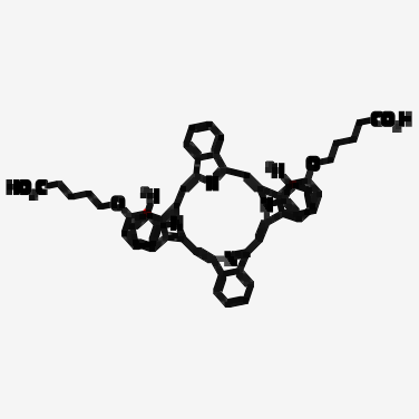 [2H]c1c(OCCCCC(=O)O)cccc1-n1c2cc3nc(cc4c5ccccc5c(cc5nc(cc1c1ccccc12)-c1ccccc1-5)n4-c1cccc(OCCCCC(=O)O)c1[2H])-c1ccccc1-3